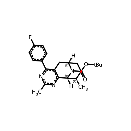 Cc1nc(-c2ccc(F)cc2)c2c(n1)[C@H]1[C@H](C)CC[C@@H](C2)N1C(=O)OC(C)(C)C